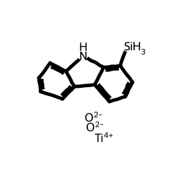 [O-2].[O-2].[SiH3]c1cccc2c1[nH]c1ccccc12.[Ti+4]